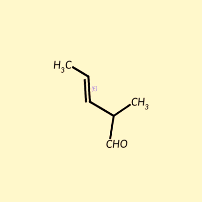 C/C=C/C(C)C=O